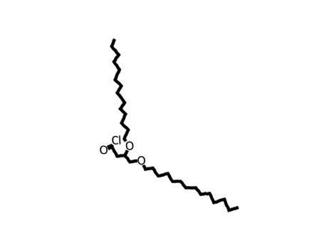 CCCCCCCCCCCCCCOCC(CC(=O)Cl)OCCCCCCCCCCCCCC